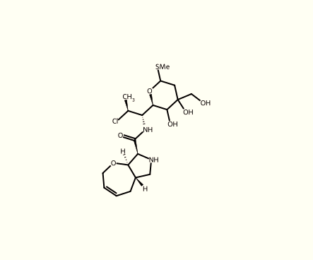 CSC1CC(O)(CO)C(O)[C@@H]([C@H](NC(=O)[C@H]2NC[C@@H]3CC=CCO[C@H]32)[C@H](C)Cl)O1